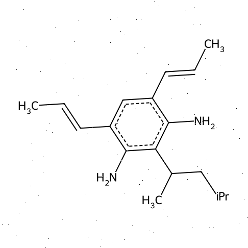 CC=Cc1cc(C=CC)c(N)c(C(C)CC(C)C)c1N